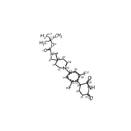 CC(C)(C)OC(=O)N1CC2(CCN(c3cc(F)c(C4CCC(=O)NC4=O)c(F)c3)CC2)C1